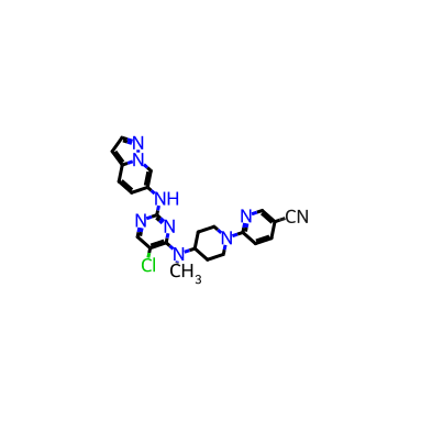 CN(c1nc(Nc2ccc3ccnn3c2)ncc1Cl)C1CCN(c2ccc(C#N)cn2)CC1